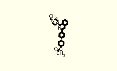 CCN1CCN(c2nc(-c3ccc([C@H]4CC[C@@H](OC(C)=O)CC4)cc3)cc3ccccc23)CC1